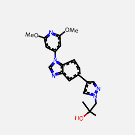 COc1cc(-n2cnc3cc(-c4cnn(CC(C)(C)O)c4)ccc32)cc(OC)n1